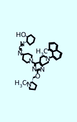 Cc1cccc2cccc(N3CCc4c(nc(OC[C@@H]5CCCN5C)nc4N4CCC(N=C=N[C@H]5CCCC[C@H]5O)CC4)C3)c12